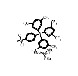 CCCC[NH+](CCCC)CCCC.C[Si](Cl)(Cl)c1ccc([B-](c2cc(C(F)(F)F)cc(C(F)(F)F)c2)(c2cc(C(F)(F)F)cc(C(F)(F)F)c2)c2cc(C(F)(F)F)cc(C(F)(F)F)c2)cc1